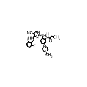 C=CC(=O)Nc1cc(N2CCN(C)CC2)ccc1Nc1ncc(C#N)c(NCc2c(F)cccc2F)n1